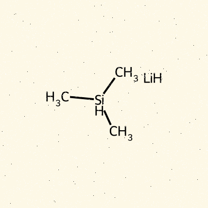 C[SiH](C)C.[LiH]